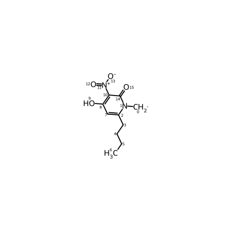 [CH2]n1c(CCCC)cc(O)c([N+](=O)[O-])c1=O